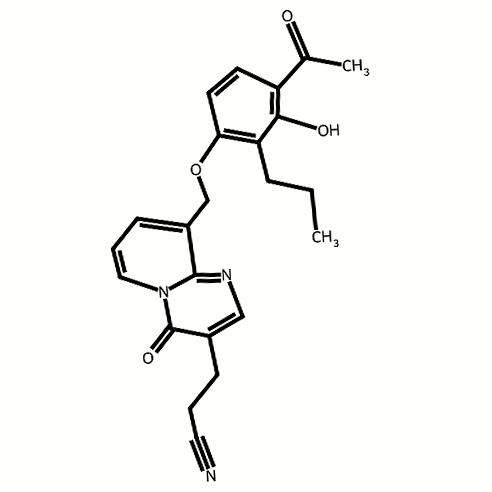 CCCc1c(OCc2cccn3c(=O)c(CCC#N)cnc23)ccc(C(C)=O)c1O